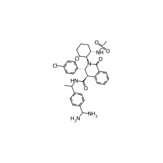 CC(NC(=O)[C@@H]1c2ccccc2C(=O)N([C@H]2CCCC[C@@H]2NS(C)(=O)=O)[C@H]1c1ccc(Cl)cc1Cl)c1ccc(C(N)N)cc1